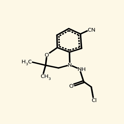 CC1(C)CN(NC(=O)CCl)c2cc(C#N)ccc2O1